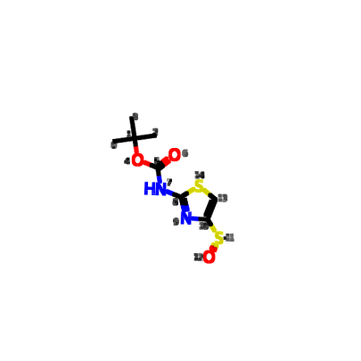 CC(C)(C)OC(=O)Nc1nc([S]=O)cs1